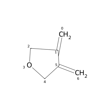 C=C1COCC1=C